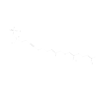 CC(C)=CCC/C(C)=C/CC/C(C)=C/COCC#CCOP(=O)(O)OP(=O)(O)O